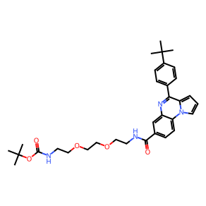 CC(C)(C)OC(=O)NCCOCCOCCNC(=O)c1ccc2c(c1)nc(-c1ccc(C(C)(C)C)cc1)c1cccn12